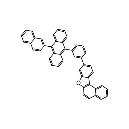 c1cc(-c2ccc3c(c2)oc2ccc4ccccc4c23)cc(-c2c3ccccc3c(-c3ccc4ccccc4c3)c3ccccc23)c1